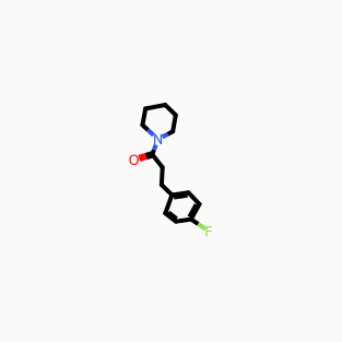 O=C(CCc1ccc(F)cc1)N1CCCCC1